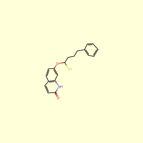 O=c1ccc2ccc(OC(S)CCCc3ccccc3)cc2[nH]1